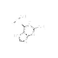 N=C=S.Nc1nc2nc[nH]c2c(=O)[nH]1